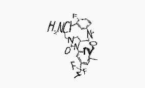 Cc1cc(C(F)(F)F)cc(N2C(=O)N(CCN)C[C@H]2C(=O)N(C)c2ccc(F)c(Cl)c2)n1